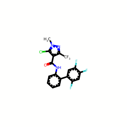 Cn1nc(C(F)(F)F)c(C(=O)Nc2ccccc2-c2cc(F)c(F)cc2F)c1Cl